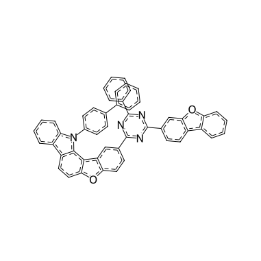 c1ccc(-c2ccc(-n3c4ccccc4c4ccc5oc6ccc(-c7nc(-c8ccccc8)nc(-c8ccc9c(c8)oc8ccccc89)n7)cc6c5c43)cc2)cc1